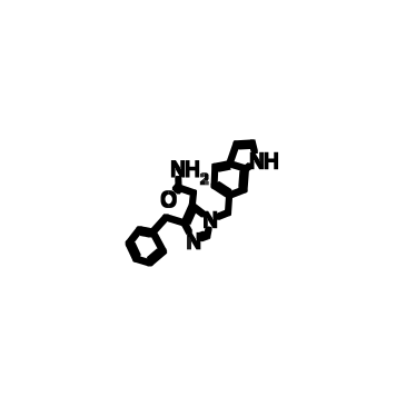 NC(=O)Cc1c(Cc2ccccc2)ncn1Cc1ccc2cc[nH]c2c1